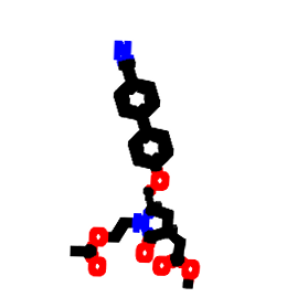 COC(=O)C[C@@H]1C[C@@H](COc2ccc(-c3ccc(C#N)cc3)cc2)N(CCOC(C)=O)C1=O